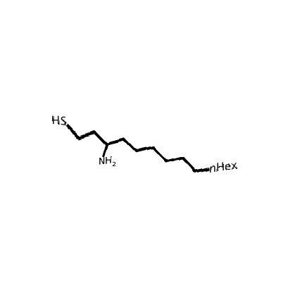 CCCCCCCCCCCCC(N)CCS